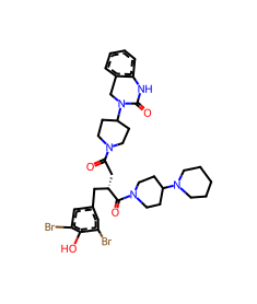 O=C(C[C@@H](Cc1cc(Br)c(O)c(Br)c1)C(=O)N1CCC(N2CCCCC2)CC1)N1CCC(N2Cc3ccccc3NC2=O)CC1